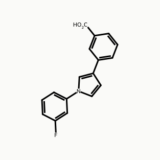 O=C(O)c1cccc(-c2ccn(-c3cccc(F)c3)c2)c1